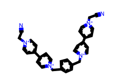 N#CC[n+]1ccc(-c2cc[n+](Cc3ccc(C[n+]4ccc(-c5cc[n+](CC#N)cc5)cc4)cc3)cc2)cc1